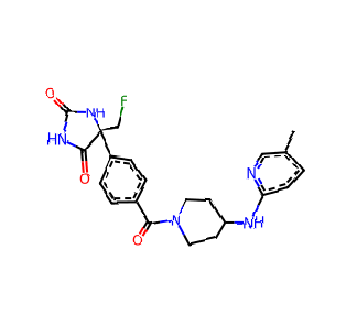 Cc1ccc(NC2CCN(C(=O)c3ccc([C@@]4(CF)NC(=O)NC4=O)cc3)CC2)nc1